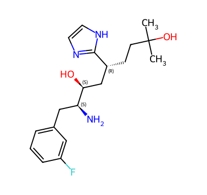 CC(C)(O)CC[C@H](C[C@H](O)[C@@H](N)Cc1cccc(F)c1)c1ncc[nH]1